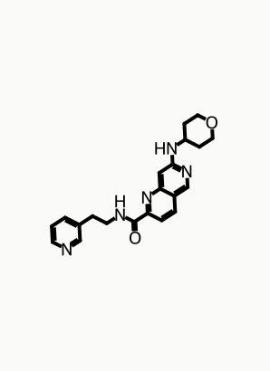 O=C(NCCc1cccnc1)c1ccc2cnc(NC3CCOCC3)cc2n1